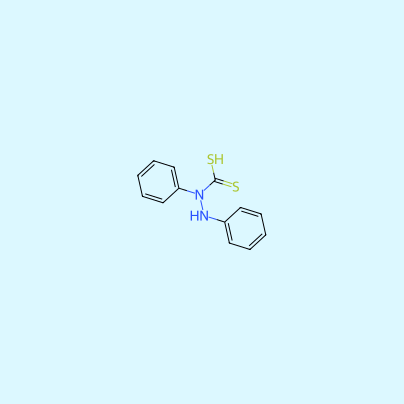 S=C(S)N(Nc1ccccc1)c1ccccc1